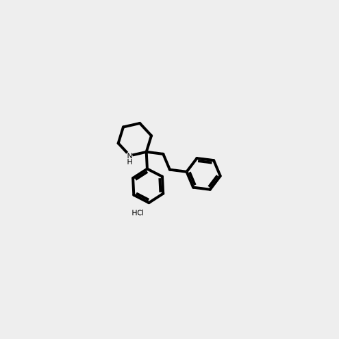 Cl.c1ccc(CCC2(c3ccccc3)CCCCN2)cc1